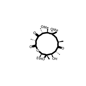 CC[C@H]1OC(=O)[C@H](C)C(=O)[C@H](C)[C@@H](OC)[C@](C)(OC)C[C@@H](C)C(=O)[C@H](C)[C@@H](O)[C@]1(C)O